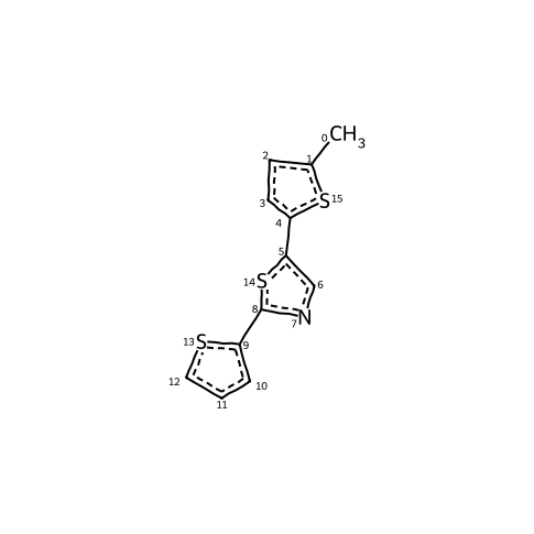 Cc1ccc(-c2cnc(-c3cccs3)s2)s1